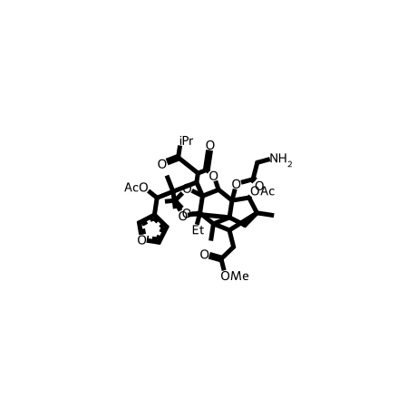 CCC12OC3(C)OC14C(C(C)(C)C(OC(C)=O)c1ccoc1)C(C(=O)C(C)C)C(=O)OC4C1(OC(=O)CN)C(OC(C)=O)C4(C)CC1(O3)C2(C)C4CC(=O)OC